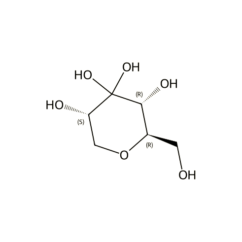 OC[C@H]1OC[C@H](O)C(O)(O)[C@@H]1O